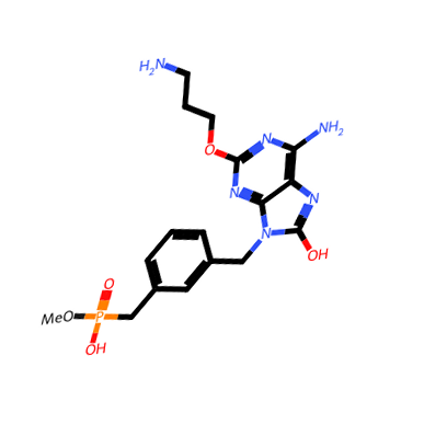 COP(=O)(O)Cc1cccc(Cn2c(O)nc3c(N)nc(OCCCN)nc32)c1